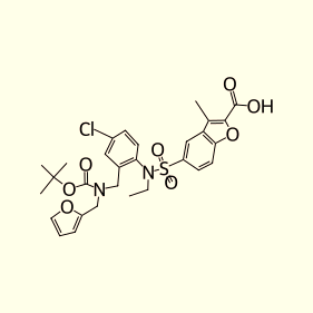 CCN(c1ccc(Cl)cc1CN(Cc1ccco1)C(=O)OC(C)(C)C)S(=O)(=O)c1ccc2oc(C(=O)O)c(C)c2c1